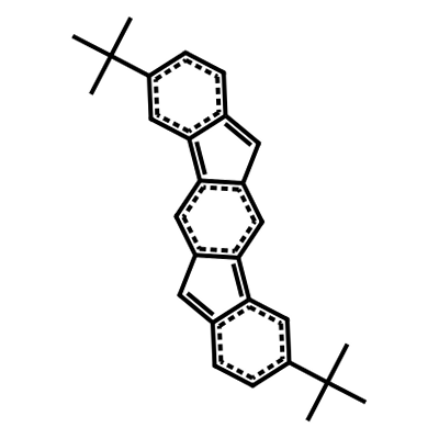 CC(C)(C)c1ccc2c(c1)=c1cc3c(cc1C=2)=c1cc(C(C)(C)C)ccc1=C3